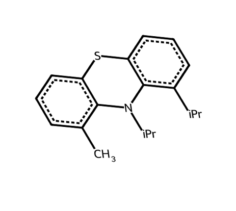 Cc1cccc2c1N(C(C)C)c1c(cccc1C(C)C)S2